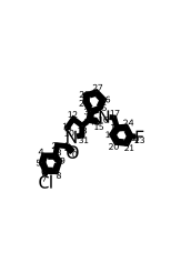 O=C(Cc1ccc(Cl)cc1)N1CCC(c2cn(Cc3cccc(F)c3)c3ccccc23)C1